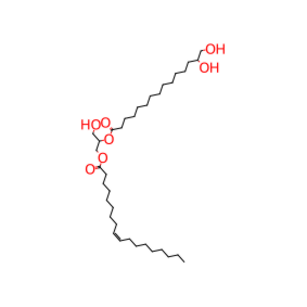 CCCCCCCC/C=C\CCCCCCCC(=O)OCC(CO)OC(=O)CCCCCCCCCCCCC(O)CO